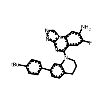 CC(C)(C)c1ccc(-c2ccc3c(c2)N(c2nc4nncn4c4cc(N)c(F)cc24)CCC3)cc1